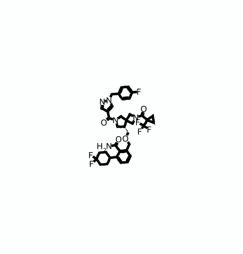 NC(=O)c1c(COC[C@@H]2CN(C(=O)c3cnn(Cc4ccc(F)cc4)c3)CC23CN(C(=O)C2(C(F)(F)F)CC2)C3)cccc1C1CCC(F)(F)CC1